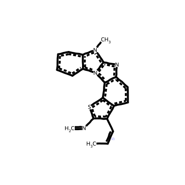 C=Nc1sc2c(ccc3nc4n(C)c5ccccc5n4c32)c1/C=C\C